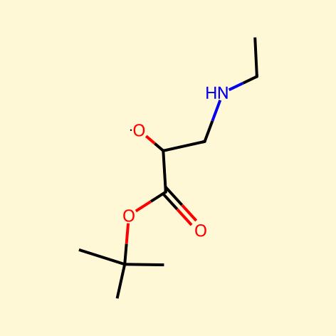 CCNCC([O])C(=O)OC(C)(C)C